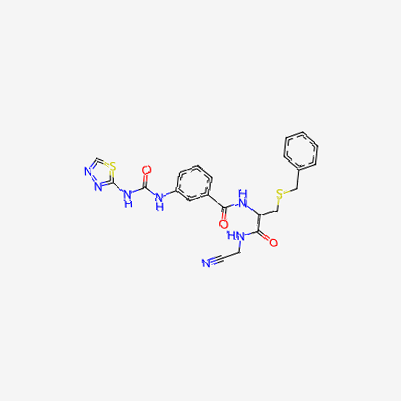 N#CCNC(=O)C(CSCc1ccccc1)NC(=O)c1cccc(NC(=O)Nc2nncs2)c1